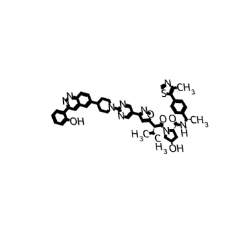 Cc1ncsc1-c1ccc([C@H](C)NC(=O)[C@@H]2C[C@@H](O)CN2C(=O)[C@@H](c2cc(-c3cnc(N4CCC(c5ccc6nnc(-c7ccccc7O)cc6c5)CC4)nc3)no2)C(C)C)cc1